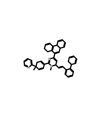 CN1C(C2=CCC(C)(c3ccccn3)C=C2)=NC(C2=CC3C=CC=CC3C3=C2CCC=C3)=CC1/C=C/c1ccccc1C1C=CC=CC1